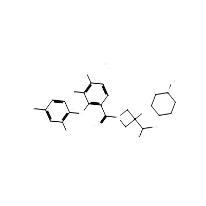 CC(N[C@H]1CC[C@H](O)CC1)C1(O)CN(C(=O)c2ccc(F)c(F)c2Nc2ccc(I)cc2F)C1.Cl